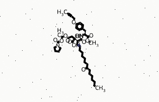 CC#CCOc1ccc(C[C@H](NC(=O)[C@@H](/C=C/CCCCCCC(=O)CCCCCCC)C(O)(CC(=O)O[C@H](C)OC(=O)N2CCCC2)C(=O)O)C(=O)OC)cc1